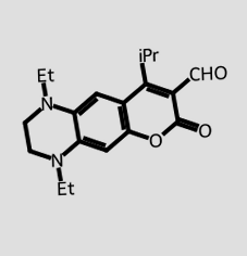 CCN1CCN(CC)c2cc3c(C(C)C)c(C=O)c(=O)oc3cc21